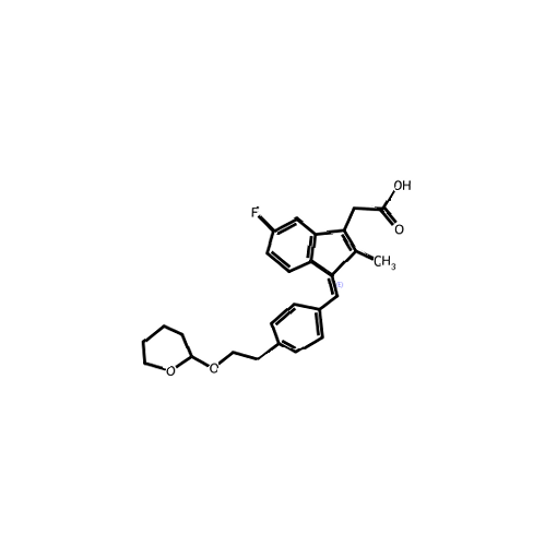 CC1=C(CC(=O)O)c2cc(F)ccc2/C1=C\c1ccc(CCOC2CCCCO2)cc1